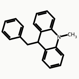 CN1c2ccccc2C(Cc2ccccc2)c2ccccc21